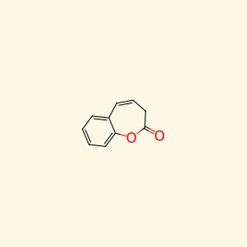 O=C1CC=Cc2ccccc2O1